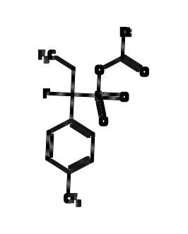 CCC(=O)OS(=O)(=O)C(F)(CC(F)(F)F)c1ccc(C(F)(F)F)cc1